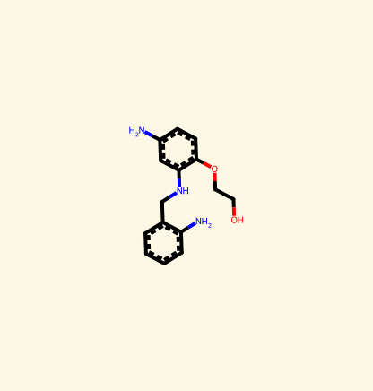 Nc1ccc(OCCO)c(NCc2ccccc2N)c1